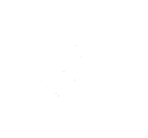 OC1(CC2CCNCC2)CCCC1